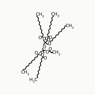 C=CC(=O)OCC(COCC(COC(=O)CCCCCCCCCCC)(COC(=O)CCCCCCCCCCC)COC(=O)CCCCCCCCCCC)(COC(=O)CCCCCCCCCCC)COC(=O)CCCCCCCCCCC